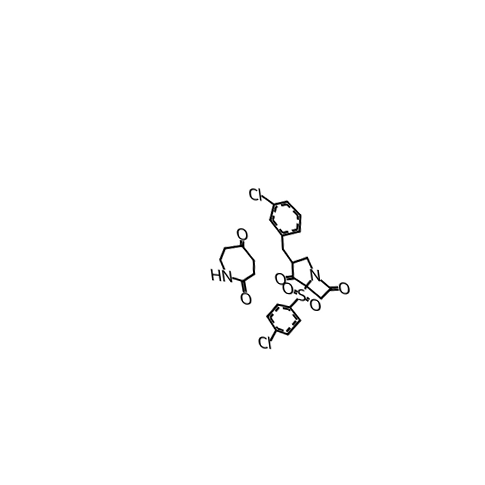 O=C1CC2(S(=O)(=O)c3ccc(Cl)cc3)C(=O)C(Cc3cccc(Cl)c3)CN12.O=C1CCNC(=O)CC1